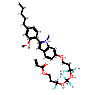 C=CC(=O)OCCC(F)(F)OC(F)(F)OC(F)(F)CCOc1ccc2cc(-c3ccc(CCCCC)cc3OC)n(C)c2c1